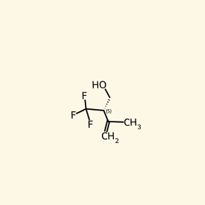 C=C(C)[C@@H](CO)C(F)(F)F